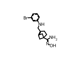 N/C(=N\O)C12CCC(CNc3cccc(Br)c3)=C(C1)C2